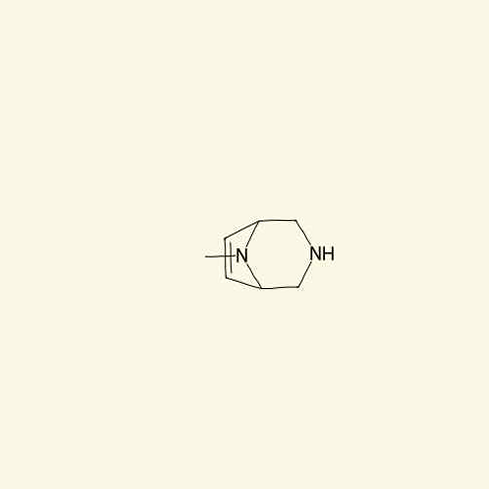 CN1C2C=CC1CNC2